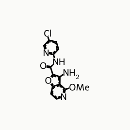 COc1nccc2oc(C(=O)Nc3ccc(Cl)cn3)c(N)c12